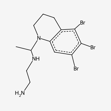 CC(NCCN)N1CCCc2c1cc(Br)c(Br)c2Br